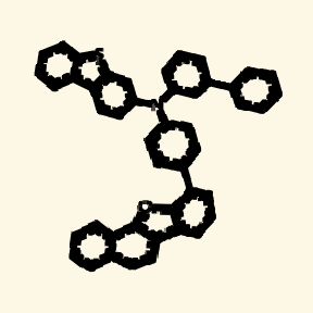 c1ccc(-c2cccc(N(c3ccc(-c4cccc5c4oc4c6ccccc6ccc54)cc3)c3ccc4c(c3)sc3ccccc34)c2)cc1